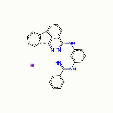 I.N=C(Nc1cccc(Nc2nnc3c4c(cccc24)-c2ccccc2-3)c1)c1ccccc1